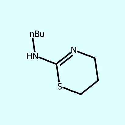 CCCCNC1=NCCCS1